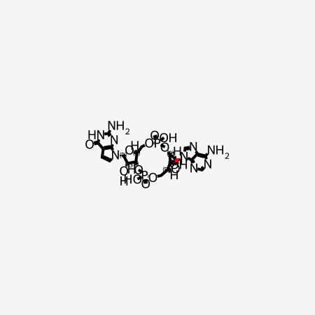 Nc1nc2c(ccn2[C@@H]2O[C@@H]3COP(=O)(O)O[C@@H]4[C@H](O)[C@@H](COP(=O)(O)O[C@H]3[C@H]2O)O[C@H]4n2cnc3c(N)ncnc32)c(=O)[nH]1